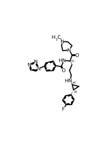 CN1CCN(C(=O)[C@H](CCCN[C@@H]2C[C@@H]2c2ccc(F)cc2)NC(=O)c2ccc(-n3ccnn3)cc2)CC1